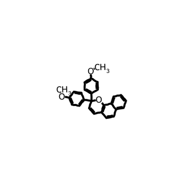 COc1ccc(C2(c3ccc(OC)cc3)C=Cc3ccc4ccccc4c3O2)cc1